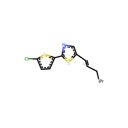 CC(C)C/C=C/c1cnc(-c2ccc(Cl)s2)s1